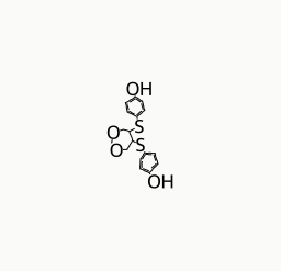 Oc1ccc(SC2COCOCC2Sc2ccc(O)cc2)cc1